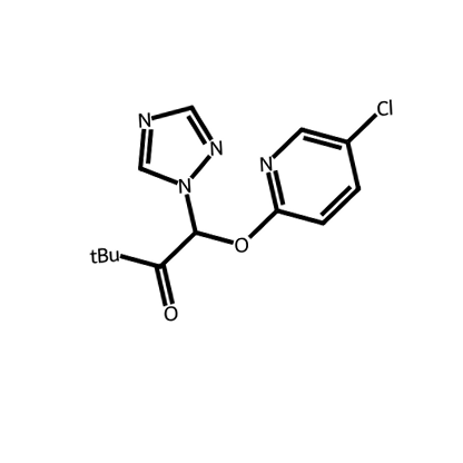 CC(C)(C)C(=O)C(Oc1ccc(Cl)cn1)n1cncn1